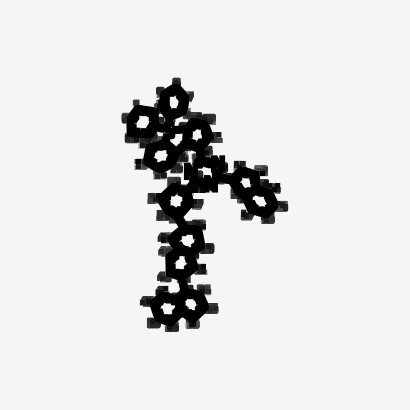 c1ccc(S2(c3ccccc3)c3ccccc3-c3c(-c4nc(-c5cccc(-c6ccc7cc(-c8cccc9ccccc89)ccc7c6)c5)nc(-c5ccc6ccccc6c5)n4)cccc32)cc1